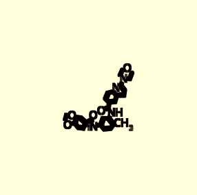 Cc1ccc(NC(=O)c2ccc3c(c2)OCCO3)cc1NC(=O)c1ccc2nc(N3CCOCC3)ccc2c1